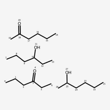 CCCC(=O)CC.CCCC(O)CC.CCCCC(C)=O.CCCCC(C)O